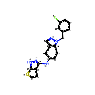 Fc1cccc(Cn2ncc3cc(Nc4n[nH]c5sccc45)ccc32)c1